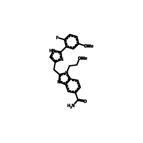 COCCn1c(Cc2c[nH]c(-c3cc(OC)ccc3F)n2)nc2cc(C(N)=O)ccc21